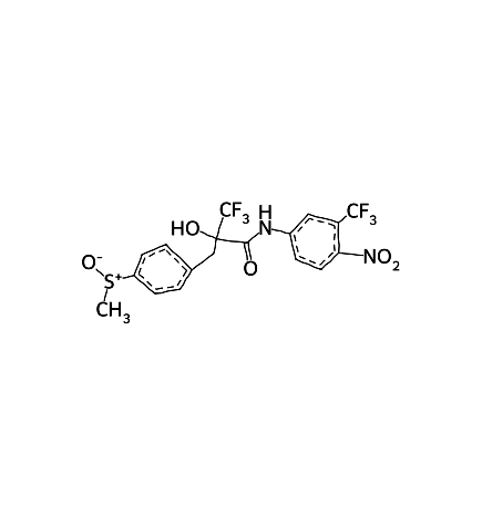 C[S+]([O-])c1ccc(CC(O)(C(=O)Nc2ccc([N+](=O)[O-])c(C(F)(F)F)c2)C(F)(F)F)cc1